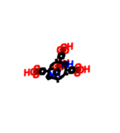 C=C1/C=C\C(C)=C(/c2ccc(S(=O)(=O)O)cc2)c2ccc([nH]2)/C(c2ccc(S(=O)(=O)O)cc2)=C(C)/C=C\C(=C)/C(c2ccc(S(=O)(=O)O)cc2)=c2/cc/c([nH]2)=C/1c1ccc(S(=O)(=O)O)cc1